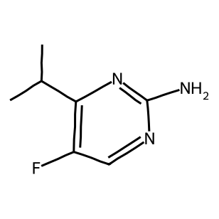 CC(C)c1nc(N)ncc1F